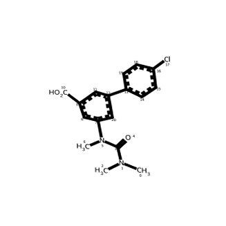 CN(C)C(=O)N(C)c1cc(C(=O)O)cc(-c2ccc(Cl)cc2)c1